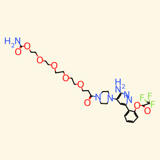 NC(=O)OCCOCCOCCOCCOCCC(=O)N1CCN(c2cc(-c3ccccc3OC(=O)C(F)(F)F)nnc2N)CC1